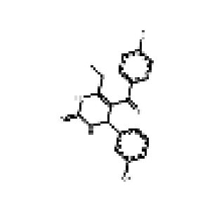 CCC1=C(C(=O)c2ccc(F)cc2)C(c2cccc(O)c2)NC(=O)N1